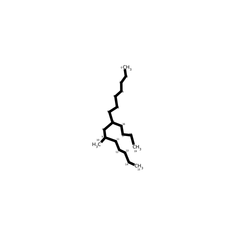 CCCCCCCC([CH]C(C)CCCCC)CCCC